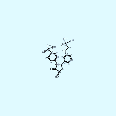 O=C1CC(c2cccc(OCC(F)(F)F)c2)N(c2ccc(C(F)(F)F)cc2)C1=O